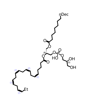 CC/C=C\C/C=C\C/C=C\C/C=C\C/C=C\CCCC(=O)O[C@H](COC(=O)CCCCCCCCCCCCCCCCC)COP(=O)(O)OC[C@@H](O)CO